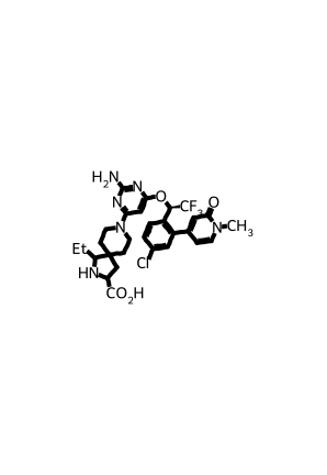 CCC1NC(C(=O)O)CC12CCN(c1cc(O[C@H](c3ccc(Cl)cc3-c3ccn(C)c(=O)c3)C(F)(F)F)nc(N)n1)CC2